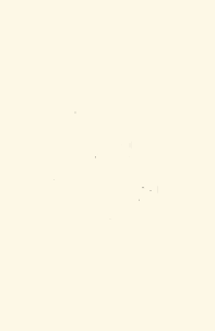 O=C(O)C(Cl)Cl.[PbH2]